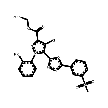 CSCOC(=O)c1nn(-c2ccccc2C(F)(F)F)c(-c2nnc(-c3cccc(S(C)(=O)=O)c3)o2)c1Cl